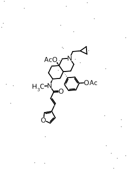 CC(=O)Oc1cccc([C@@]23CCN(CC4CC4)C[C@@]2(OC(C)=O)CC[C@H](N(C)C(=O)/C=C/c2ccoc2)C3)c1